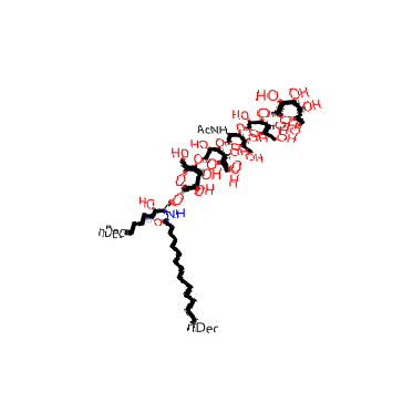 CCCCCCCCCCCCC/C=C/[C@@H](O)[C@H](CO[C@@H]1OC(CO)[C@@H](O[C@@H]2OC(CO)[C@H](O)[C@H](O[C@@H]3OC(CO)[C@@H](O)[C@H](O[C@@H]4OC(CO)[C@H](O)[C@H](O[C@H]5OC(CO)[C@H](O)[C@H](O)C5O)C4O)C3NC(C)=O)C2O)[C@H](O)C1O)NC(=O)CCCCCCCCCCCCCCCCCCCCCCC